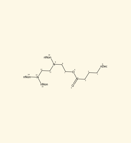 CCCCCCCCCCCCCC(=O)OCCN(CCCCCCCCC)CCN(CCCCCCCCC)CCCCCCCCC